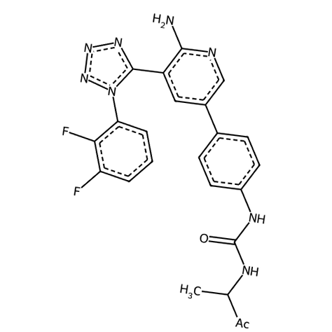 CC(=O)C(C)NC(=O)Nc1ccc(-c2cnc(N)c(-c3nnnn3-c3cccc(F)c3F)c2)cc1